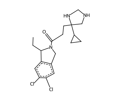 CCC1c2cc(Cl)c(Cl)cc2CN1C(=O)CCC1(C2CC2)CNCN1